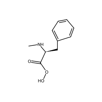 CN[C@@H](Cc1ccccc1)C(=O)OO